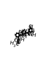 COC(=O)N[C@H]1CCCC[C@@H]1Nc1nc(-c2c[nH]c3ncc(Cl)cc23)ncc1F